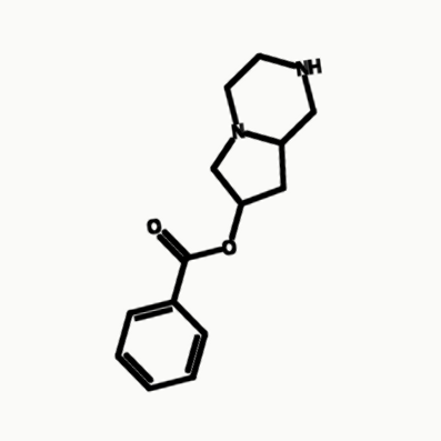 O=C(OC1CC2CNCCN2C1)c1ccccc1